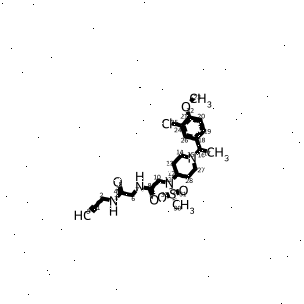 C#CCNC(=O)CNC(=O)CN(C1CCN(C(C)c2ccc(OC)c(Cl)c2)CC1)S(C)(=O)=O